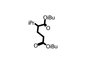 CC(C)COC(=O)CCC(C(=O)OCC(C)C)C(C)C